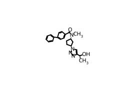 C[C@H](O)c1cn([C@@H]2CC[C@H](N(C)C(=O)c3ccc(-c4ccccc4)cc3)C2)nn1